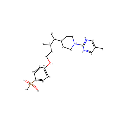 Cc1cnc(N2CCC(C(C)C(C)CCOc3ccc(S(C)(=O)=O)cc3)CC2)nc1